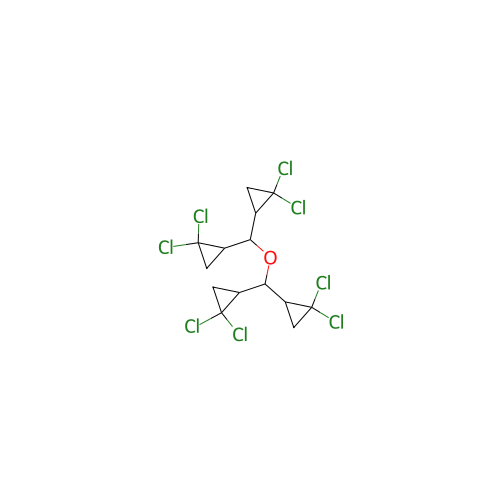 ClC1(Cl)CC1C(OC(C1CC1(Cl)Cl)C1CC1(Cl)Cl)C1CC1(Cl)Cl